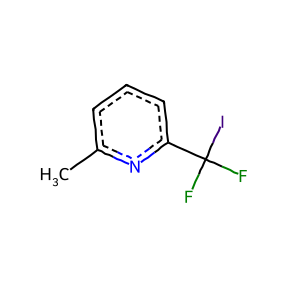 Cc1cccc(C(F)(F)I)n1